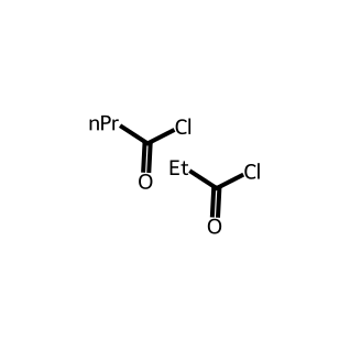 CCC(=O)Cl.CCCC(=O)Cl